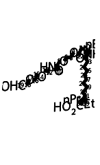 CCCCN(CCOCCOCC(=O)NCCOCCOC[C]=O)NC(=O)CCCCCCCCC[C@](CC)(CCC)C(=O)O